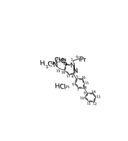 CC(C)Cn1nc(-c2ccc(-c3ccccc3)cc2)cc(CN(C)C)c1=O.Cl